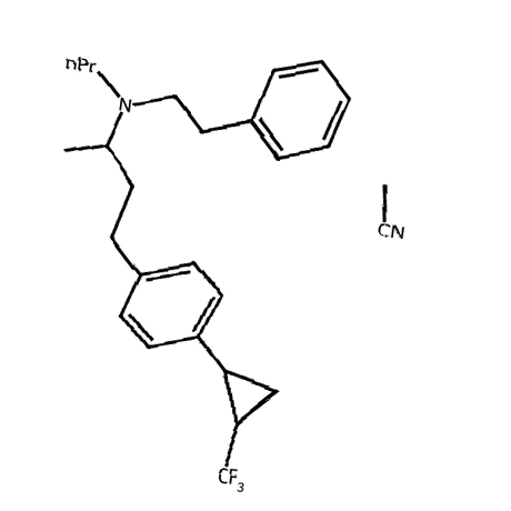 CC#N.CCCN(CCc1ccccc1)C(C)CCc1ccc(C2CC2C(F)(F)F)cc1